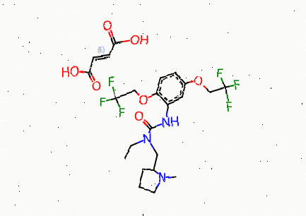 CCN(CC1CCCN1C)C(=O)Nc1cc(OCC(F)(F)F)ccc1OCC(F)(F)F.O=C(O)/C=C/C(=O)O